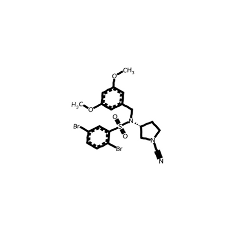 COc1cc(CN([C@@H]2CCN(C#N)C2)S(=O)(=O)c2cc(Br)ccc2Br)cc(OC)c1